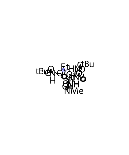 CC/C=C/c1cc([C@@H](C(=O)N[C@@H](C)C(=O)NC)N(C)C(=O)[C@H](CCNC(=O)OC(C)(C)C)NC(=O)c2ccccc2C)ccc1OCCNC(=O)OC(C)(C)C